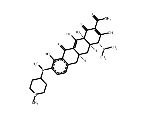 CN1CCC(N(C)c2ccc3c(c2O)C(=O)C2=C(O)[C@@]4(O)C(=O)C(C(N)=O)=C(O)[C@H](N(C)C)[C@H]4C[C@H]2C3)CC1